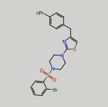 CCCc1ccc(Cc2csc(N3CCN(S(=O)(=O)c4ccccc4Br)CC3)n2)cc1